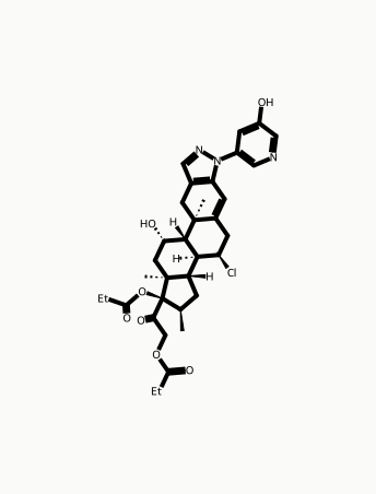 CCC(=O)OCC(=O)[C@@]1(OC(=O)CC)[C@H](C)C[C@H]2[C@H]3[C@H]([C@@H](O)C[C@@]21C)[C@@]1(C)Cc2cnn(-c4cncc(O)c4)c2C=C1C[C@H]3Cl